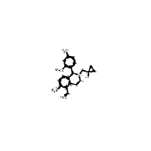 COc1cc(C)ccc1C1c2ccc(N)c(C=N)c2CCN1CC1(F)CC1